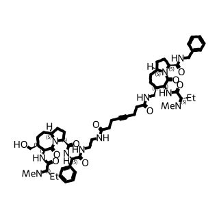 CC[C@H](NC)C(=O)N[C@@H]1C(=O)N2[C@@H](CC[C@@H]1CNC(=O)CCC#CCCC(=O)NCCNC(=O)[C@@H](NC(=O)[C@@H]1CC[C@@H]3CC[C@H](CO)[C@H](NC(=O)[C@H](CC)NC)C(=O)N31)c1ccccc1)CC[C@H]2C(=O)NCc1ccccc1